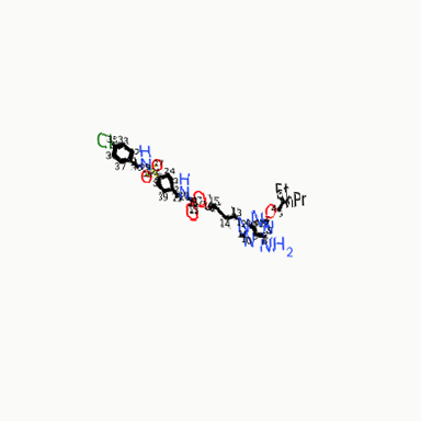 CCCC(CC)COc1nc(N)c2ncn(CCCCOC(=O)NCc3ccc(S(=O)(=O)NCc4ccc(Cl)cc4)cc3)c2n1